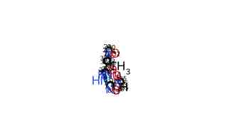 COc1nc(Nc2cnc3c(c2)N2C(=O)CC[C@H]2CO3)ncc1-c1ccc(N2CCCC2=O)cc1